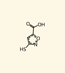 O=C(O)c1cc(S)no1